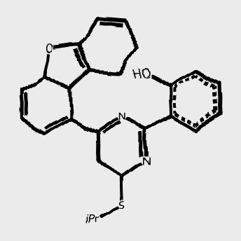 CC(C)SC1CC(C2=CC=CC3OC4=C(CCC=C4)C23)=NC(c2ccccc2O)=N1